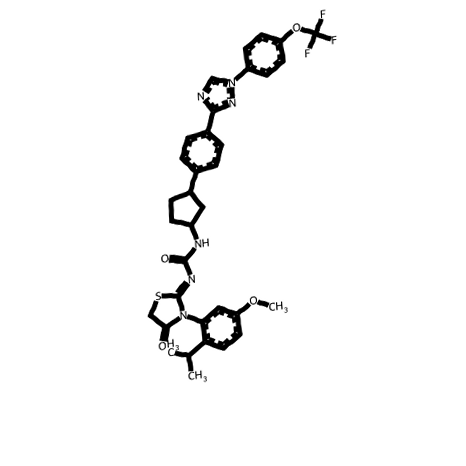 COc1ccc(C(C)C)c(N2C(=O)CS/C2=N\C(=O)NC2CCC(c3ccc(-c4ncn(-c5ccc(OC(F)(F)F)cc5)n4)cc3)C2)c1